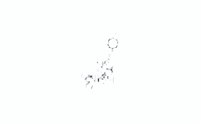 CS(=O)(=O)NC[C@H](NC(=O)OCc1ccccc1)C(=O)O